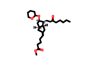 CCCCCC(=O)CC[C@@H]1[C@H]2CC(=CCCCC(=O)OC)C[C@H]2C[C@H]1OC1CCCCO1